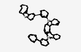 c1ccc(-c2cccc(-n3c4ccccc4c4c5c6ccccc6n(-c6cccc(-c7ccc8sc9ccccc9c8c7)c6)c5ccc43)c2)cc1